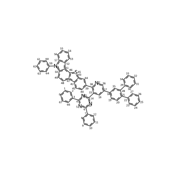 c1ccc(-c2nc(-c3ccccc3)nc(-c3cc(-c4ccc(-c5ccccc5)c(-c5ccccc5)c4)cnc3-c3ccc4c(c3)sc3c4ccc4c3c3ccccc3n4-c3ccccc3)n2)cc1